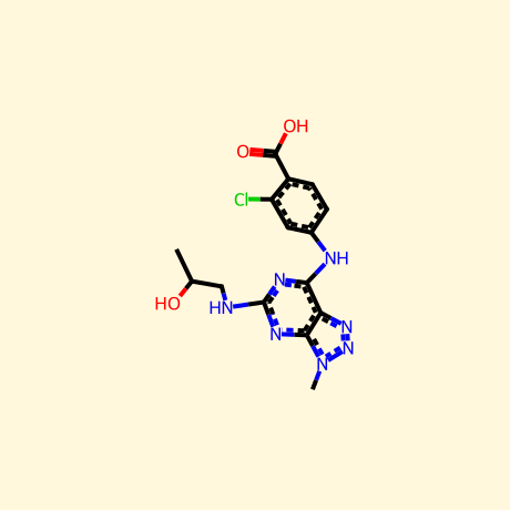 CC(O)CNc1nc(Nc2ccc(C(=O)O)c(Cl)c2)c2nnn(C)c2n1